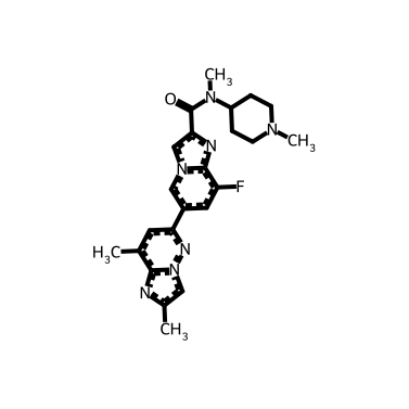 Cc1cn2nc(-c3cc(F)c4nc(C(=O)N(C)C5CCN(C)CC5)cn4c3)cc(C)c2n1